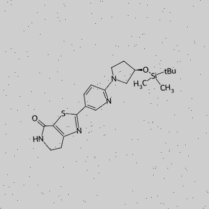 CC(C)(C)[Si](C)(C)O[C@@H]1CCN(c2ccc(-c3nc4c(s3)C(=O)NCC4)cn2)C1